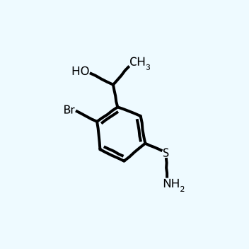 CC(O)c1cc(SN)ccc1Br